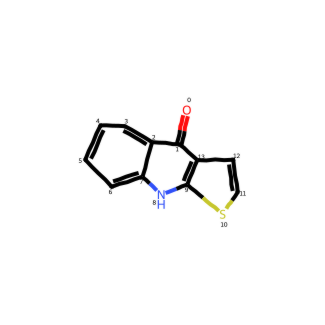 O=c1c2ccccc2[nH]c2sccc12